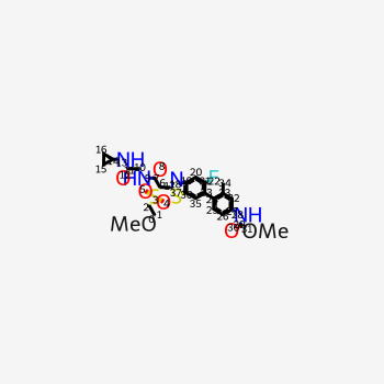 COCCS(=O)(=O)C(C(=O)NCC(=O)NC1CC1)c1nc2cc(F)c(-c3ccc(NC(=O)OC)cc3C)cc2s1